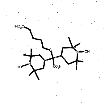 CC1(C)CC(C(CCCCCC(=O)O)(C(=O)O)C2CC(C)(C)N(O)C(C)(C)C2)CC(C)(C)N1O